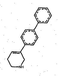 C1=C(c2ccc(-c3ccccc3)cc2)CNCC1